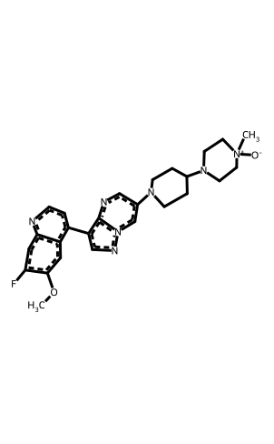 COc1cc2c(-c3cnn4cc(N5CCC(N6CC[N+](C)([O-])CC6)CC5)cnc34)ccnc2cc1F